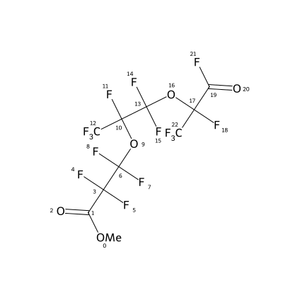 COC(=O)C(F)(F)C(F)(F)OC(F)(C(F)(F)F)C(F)(F)OC(F)(C(=O)F)C(F)(F)F